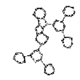 c1ccc(-c2cc(-c3ccccc3)cc(-n3c4ccccc4c4sc5cc(-c6nc(-c7ccccc7)nc(-c7ccccc7)n6)ccc5c43)c2)cc1